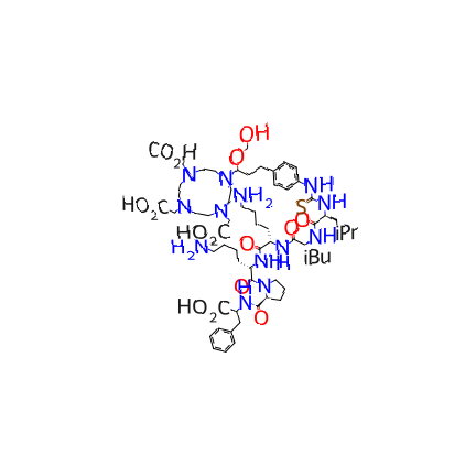 CC[C@H](C)[C@H](NC(=O)[C@H](CC(C)C)NC(=S)Nc1ccc(CCC(OCO)N2CCN(CC(=O)O)CCN(CC(=O)O)CCN(CC(=O)O)CC2)cc1)C(=O)N[C@@H](CCCCN)C(=O)N[C@@H](CCCCN)C(=O)N1CCC[C@H]1C(=O)N[C@@H](Cc1ccccc1)C(=O)O